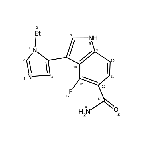 CCn1cncc1-c1c[nH]c2ccc(C(N)=O)c(F)c12